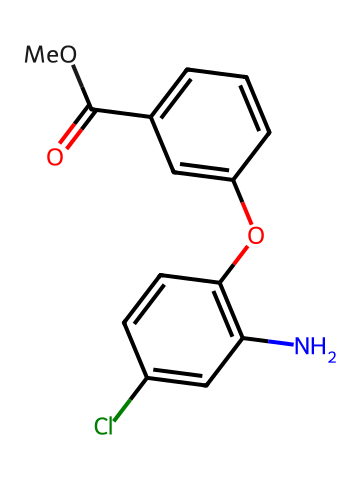 COC(=O)c1cccc(Oc2ccc(Cl)cc2N)c1